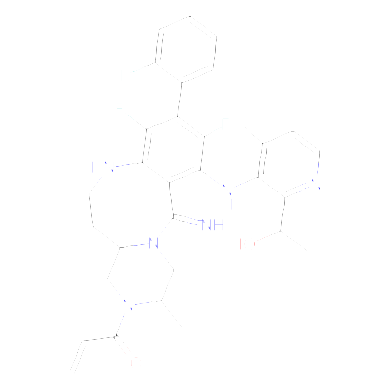 C=CC(=O)N1CC2CCNc3c(F)c(-c4ccccc4F)c(F)c(Nc4c(C)ccnc4C(C)O)c3C(=N)N2CC1C